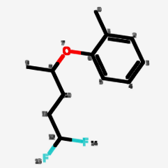 Cc1ccccc1OC(C)[CH]CC(F)F